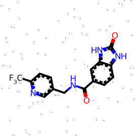 O=C(NCc1ccc(C(F)(F)F)nc1)c1ccc2[nH]c(=O)[nH]c2c1